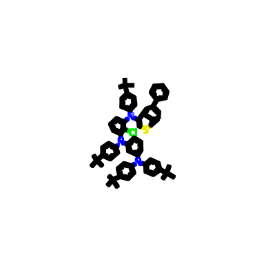 CC(C)(C)c1ccc(N(C2=CSC3=C4C=C(c5ccccc5)C=C2C43)c2cccc(N(c3ccc(C(C)(C)C)cc3)c3cccc(N(c4ccc(C(C)(C)C)cc4)c4ccc(C(C)(C)C)cc4)c3)c2Cl)cc1